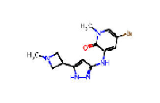 CN1CC(c2cc(Nc3cc(Br)cn(C)c3=O)n[nH]2)C1